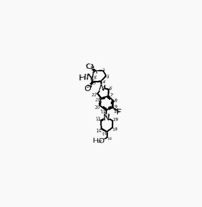 O=C1CCC(N2Cc3cc(F)c(N4CCC(CO)CC4)cc3C2)C(=O)N1